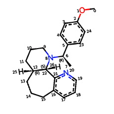 COc1ccc([C@@H](C)N2CCC[C@H]3CCCc4cccnc4[C@H]32)cc1